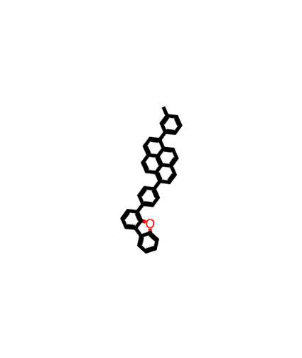 Cc1cccc(-c2ccc3ccc4c(-c5ccc(-c6cccc7c6oc6ccccc67)cc5)ccc5ccc2c3c54)c1